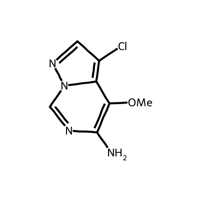 COc1c(N)ncn2ncc(Cl)c12